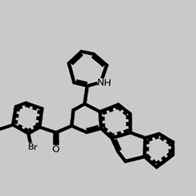 Cc1cccc(C(=O)C2C=c3c(ccc4c3=CCc3ccccc3-4)C(C3=CC=CC=CN3)C2)c1Br